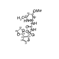 COC1=NN(NC(=O)NS(=O)(=O)c2sccc2C2OCCO2)NC(C)=C1